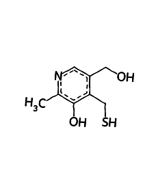 Cc1ncc(CO)c(CS)c1O